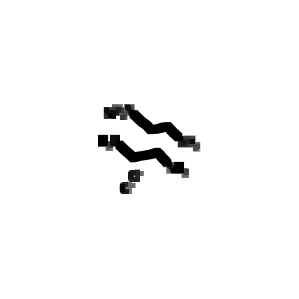 NCCN.NCCN.[Cl-].[Cl-].[Ni+2]